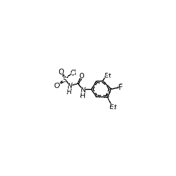 CCc1cc(NC(=O)NS(=O)(=O)Cl)cc(CC)c1F